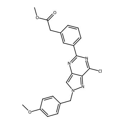 COC(=O)Cc1cccc(-c2nc(Cl)c3nn(Cc4ccc(OC)cc4)cc3n2)c1